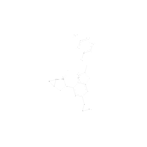 C[C@@H](Nc1cnnc(N)n1)c1cc2cc(C3CC3)cc(N3CC4CC4C3=O)n2n1